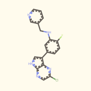 Fc1ccc(-c2c[nH]c3ncc(Cl)nc23)cc1NCc1cccnc1